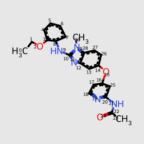 CCOc1ccccc1Nc1nc2cc(Oc3ccnc(NC(C)=O)c3)ccc2n1C